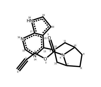 C#CCOC(=O)N1C2CCC1CN(c1ncnc3[nH]ccc13)C2